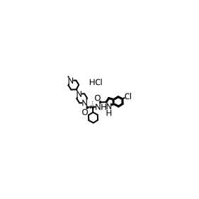 CN1CCC(N2CCN(C(=O)[C@@](C)(NC(=O)c3cc4cc(Cl)ccc4[nH]3)C3CCCCC3)CC2)CC1.Cl